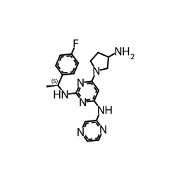 C[C@H](Nc1nc(Nc2cnccn2)cc(N2CCC(N)C2)n1)c1ccc(F)cc1